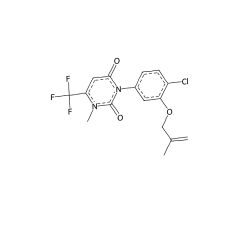 C=C(C)COc1cc(-n2c(=O)cc(C(F)(F)F)n(C)c2=O)ccc1Cl